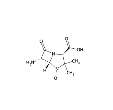 CC1(C)[C@H](C(=O)O)N2C(=O)[C@@H](N)[C@H]2[S+]1[O-]